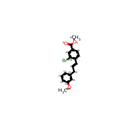 COC(=O)c1ccc(/C=C/Cc2cccc(OC)c2)c(Br)c1